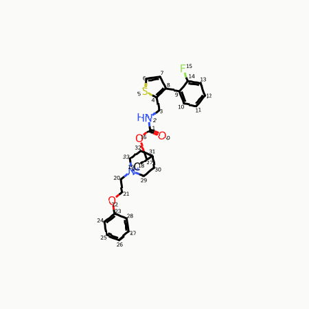 O=C(NCc1sccc1-c1ccccc1F)OC1C[N+]2(CCOc3ccccc3)CCC1CC2